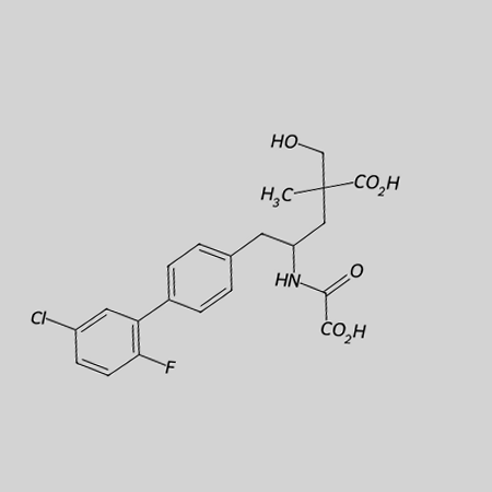 CC(CO)(CC(Cc1ccc(-c2cc(Cl)ccc2F)cc1)NC(=O)C(=O)O)C(=O)O